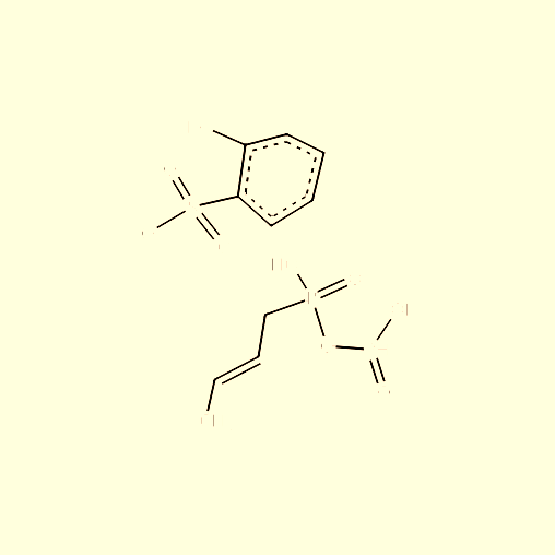 CC=CCP(=O)(O)O[PH](=O)O.Cc1ccccc1S([O])(=O)=O